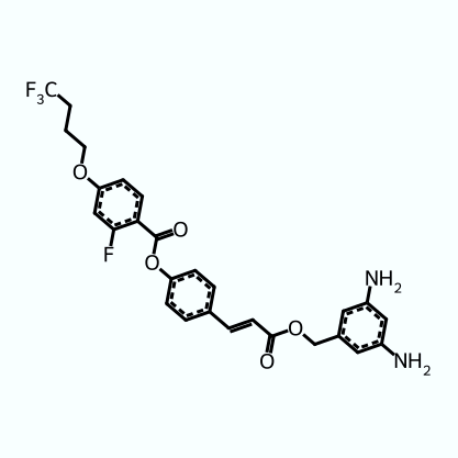 Nc1cc(N)cc(COC(=O)C=Cc2ccc(OC(=O)c3ccc(OCCCC(F)(F)F)cc3F)cc2)c1